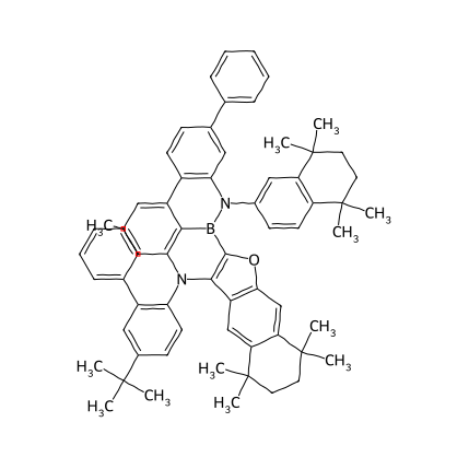 Cc1cc2c3c(c1)N(c1ccc(C(C)(C)C)cc1-c1ccccc1)c1c(oc4cc5c(cc14)C(C)(C)CCC5(C)C)B3N(c1ccc3c(c1)C(C)(C)CCC3(C)C)c1cc(-c3ccccc3)ccc1-2